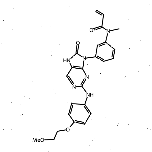 C=CC(=O)N(C)c1cccc(-n2c(=O)[nH]c3cnc(Nc4ccc(OCCOC)cc4)nc32)c1